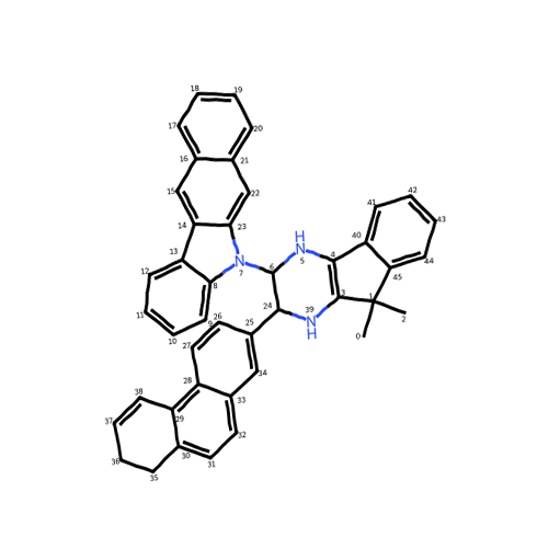 CC1(C)C2=C(NC(n3c4ccccc4c4cc5ccccc5cc43)C(c3ccc4c5c(ccc4c3)CCC=C5)N2)c2ccccc21